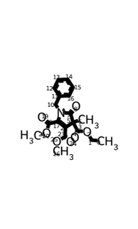 CCOC(=O)C1(C)C(=O)N(Cc2ccccc2)C(C(=O)OC)=C1C(=O)OC